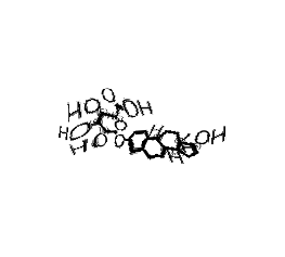 C[C@]12CC[C@@H]3c4ccc(OC5O[C@H](C(=O)O)[C@@H](O)[C@H](O)[C@H]5O)cc4CC[C@H]3[C@@H]1CC[C@@H]2O